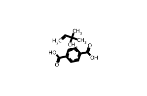 C=CC(C)(C)C.O=C(O)c1ccc(C(=O)O)cc1